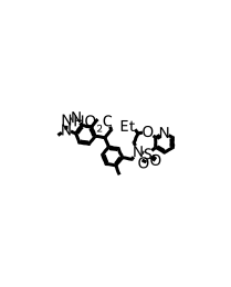 CCC1CN(Cc2cc(C(CC(=O)O)c3ccc4c(nnn4C)c3C)ccc2C)S(=O)(=O)c2cccnc2O1